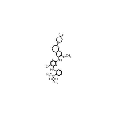 COC1=C(Nc2ncc(Cl)c(Nc3ccccc3N(C)S(C)(=O)=O)n2)C=C2CCCC(N3CCC(F)(F)CC3)C=C2C1